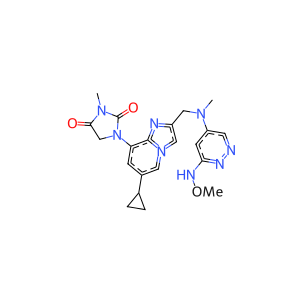 CONc1cc(N(C)Cc2cn3cc(C4CC4)cc(N4CC(=O)N(C)C4=O)c3n2)cnn1